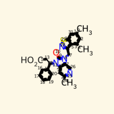 Cc1cc(C)c2c(Cn3c(=O)n([C@H](CC(=O)O)c4ccccc4)c4cc(C)ncc43)nsc2c1